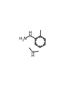 CNC.Cc1ccccc1NN